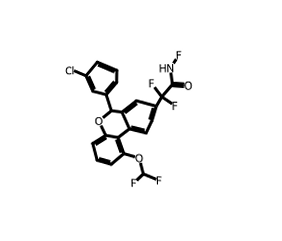 O=C(NF)C(F)(F)c1ccc2c(c1)C(c1cccc(Cl)c1)Oc1cccc(OC(F)F)c1-2